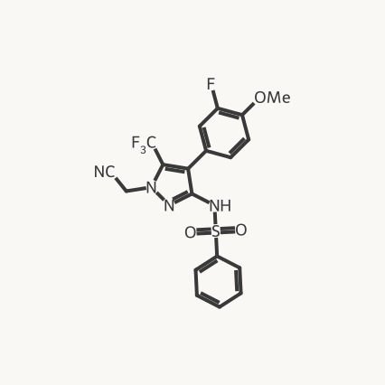 COc1ccc(-c2c(NS(=O)(=O)c3ccccc3)nn(CC#N)c2C(F)(F)F)cc1F